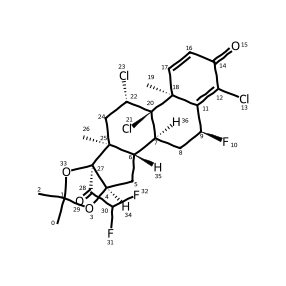 CC1(C)O[C@@H]2C[C@H]3[C@@H]4C[C@H](F)C5=C(Cl)C(=O)C=C[C@]5(C)[C@@]4(Cl)[C@@H](Cl)C[C@]3(C)[C@]2(C(=O)C(F)F)O1